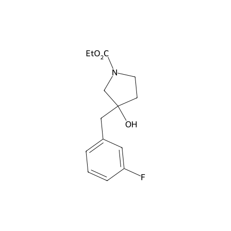 CCOC(=O)N1CCC(O)(Cc2cccc(F)c2)C1